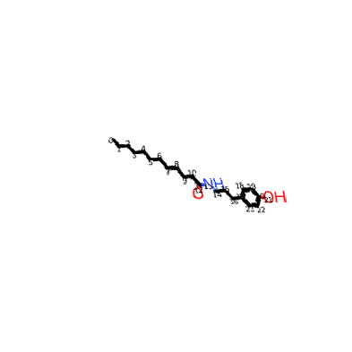 CCCCCCCCCCCC(=O)NCCCc1ccc(O)cc1